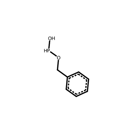 OPOCc1ccccc1